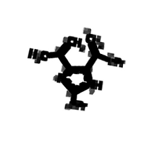 C=C(C)c1nc(CCC)[nH]c1C(=C)CCC